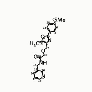 CSc1ccc(-c2nc(COCC(=O)NCc3cccnc3)c(C)o2)cc1